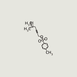 Cc1ccc(S(=O)(=O)OCC#CC[SiH](C)C)cc1